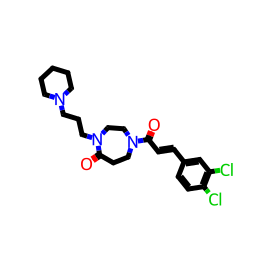 O=C(C=Cc1ccc(Cl)c(Cl)c1)N1CCC(=O)N(CCCN2CCCCC2)CC1